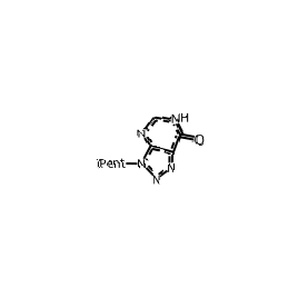 CCCC(C)n1nnc2c(=O)[nH]cnc21